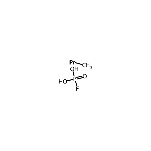 CC(C)C.O=P(O)(O)F